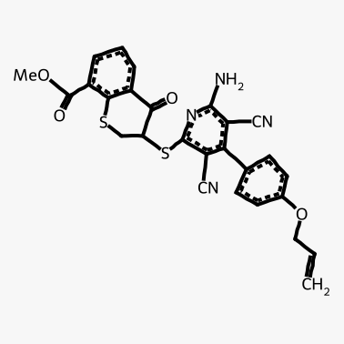 C=CCOc1ccc(-c2c(C#N)c(N)nc(SC3CSc4c(C(=O)OC)cccc4C3=O)c2C#N)cc1